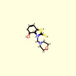 O=C1CC=Cc2sc(=S)n(CN3CCOCC3)c21